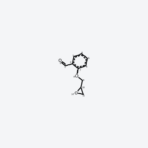 O=Cc1ccccc1OCC1CO1